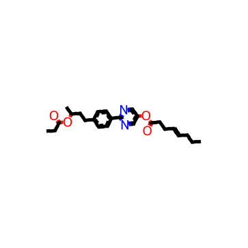 CCCC=CCCC(=O)Oc1cnc(-c2ccc(CCC(C)OC(=O)CC)cc2)nc1